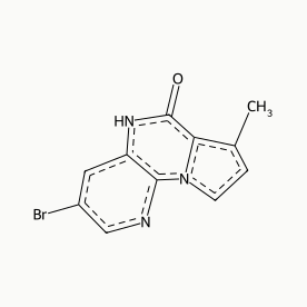 Cc1ccn2c1c(=O)[nH]c1cc(Br)cnc12